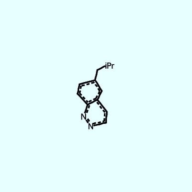 CC(C)Cc1ccc2nnccc2c1